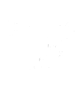 COC(=O)c1ccc2c(c1)OCC(c1ccccc1C(F)(F)F)N(C(=O)C1CCOCC1)C2